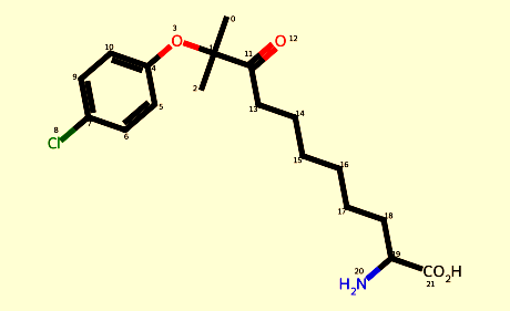 CC(C)(Oc1ccc(Cl)cc1)C(=O)CCCCCCC(N)C(=O)O